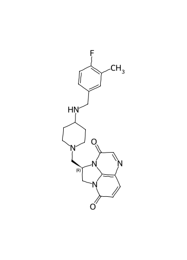 Cc1cc(CNC2CCN(C[C@@H]3Cn4c(=O)ccc5ncc(=O)n3c54)CC2)ccc1F